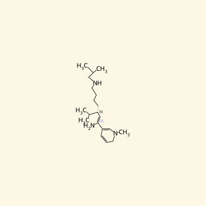 CC(C)CNCCCC[C@H](/C=C(\N)C1=CN(C)CC=C1)C(C)C